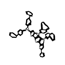 c1ccc(-c2ccc(N(c3ccc(-c4ccccc4)cc3)c3cc4c(s3)c3sc5c6sc(-c7ccccc7)cc6n(-c6ccc7ccccc7c6)c5c3n4-c3ccc4ccccc4c3)cc2)cc1